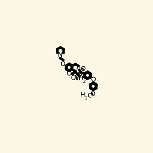 COc1ccc(Oc2ccc(S(=O)(=O)N3CCc4cc(OCCN5CCCCC5)ccc4C3(C(N)=O)C(=O)O)cc2)cc1